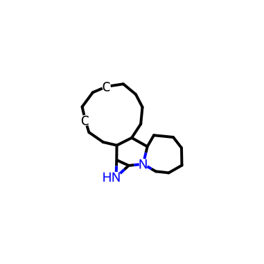 C1CCCCCC2C(CCCC1)C1NC1N1CCCCCCC21